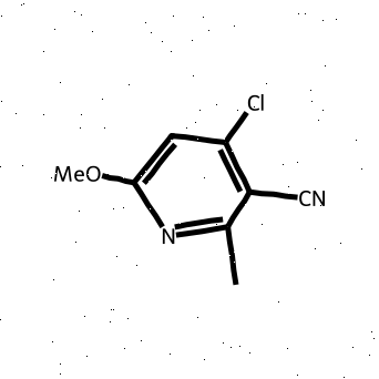 COc1cc(Cl)c(C#N)c(C)n1